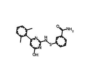 Cc1cccc(C)c1-c1cc(O)nc(NSc2cccc(C(N)=O)c2)n1